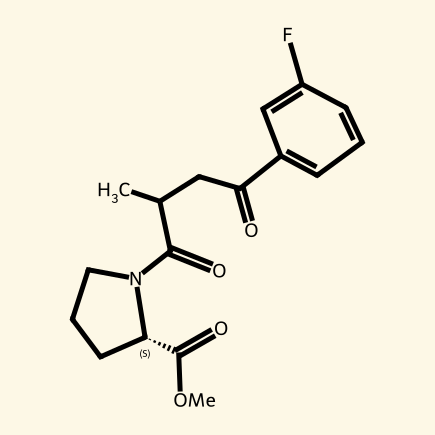 COC(=O)[C@@H]1CCCN1C(=O)C(C)CC(=O)c1cccc(F)c1